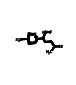 CCN(C)CCC(NF)c1ccc(C)cn1